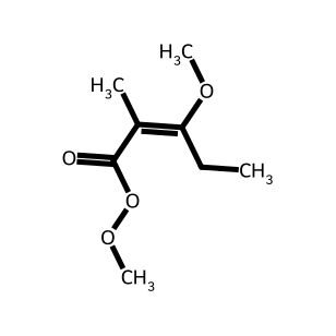 CCC(OC)=C(C)C(=O)OOC